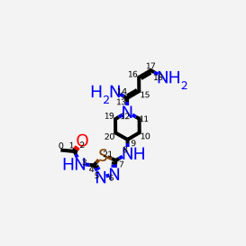 CC(=O)Nc1nnc(NC2CCN(/C(N)=C/C=C\N)CC2)s1